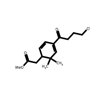 COC(=O)CC1C=CC(C(=O)CCCCl)=CC1(C)C